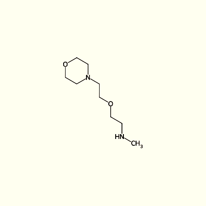 CNCCOCCN1CCOCC1